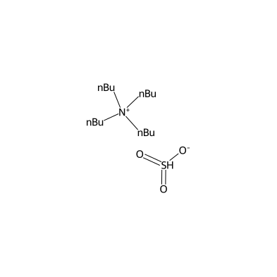 CCCC[N+](CCCC)(CCCC)CCCC.O=[SH](=O)[O-]